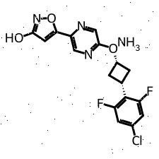 N.Oc1cc(-c2cnc(O[C@H]3C[C@@H](c4c(F)cc(Cl)cc4F)C3)cn2)on1